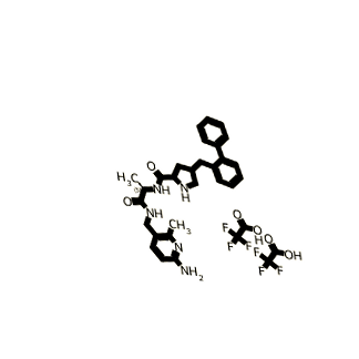 Cc1nc(N)ccc1CNC(=O)[C@H](C)NC(=O)C1CC(Cc2ccccc2-c2ccccc2)CN1.O=C(O)C(F)(F)F.O=C(O)C(F)(F)F